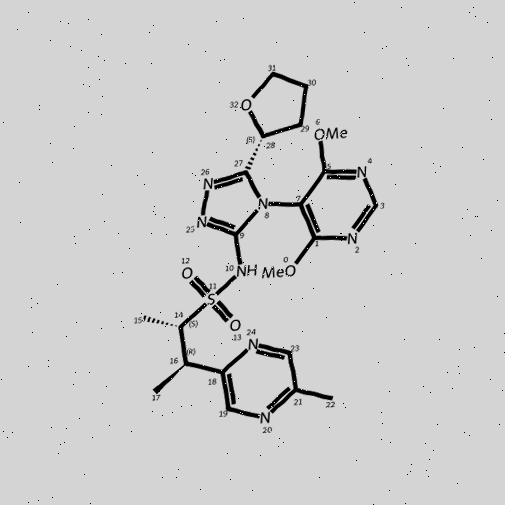 COc1ncnc(OC)c1-n1c(NS(=O)(=O)[C@@H](C)[C@H](C)c2cnc(C)cn2)nnc1[C@H]1CCCO1